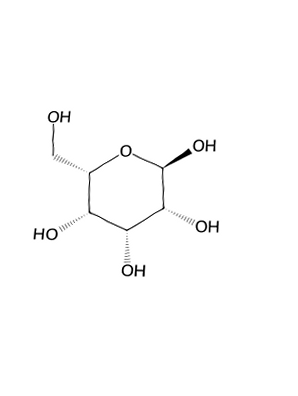 OC[C@@H]1O[C@@H](O)[C@H](O)[C@H](O)[C@@H]1O